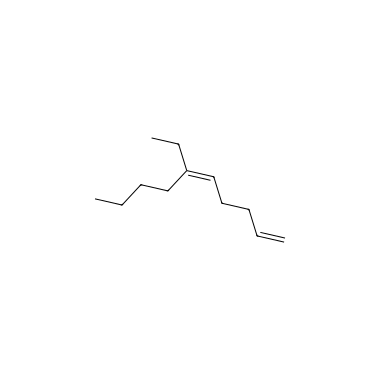 C=CCCC=C(CC)CCCC